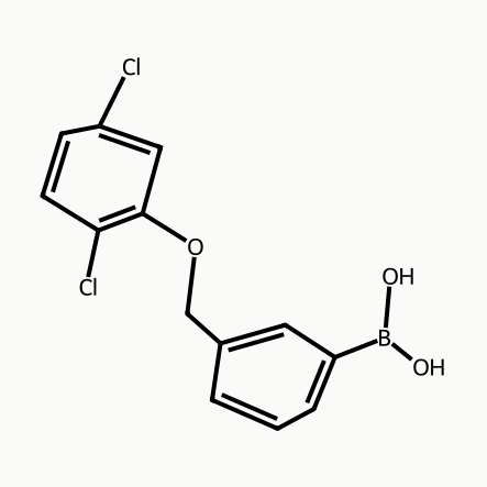 OB(O)c1cccc(COc2cc(Cl)ccc2Cl)c1